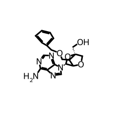 Nc1ncnc2c1ncn2[C@@H]1O[C@@]2(CO)COC1C2COCc1ccccc1